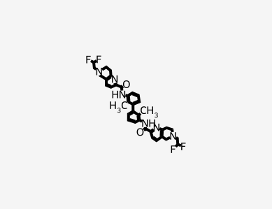 Cc1c(NC(=O)c2ccc3c(n2)CCN(CC(F)F)C3)cccc1-c1cccc(NC(=O)c2ccc3c(n2)CCN(CC(F)F)C3)c1C